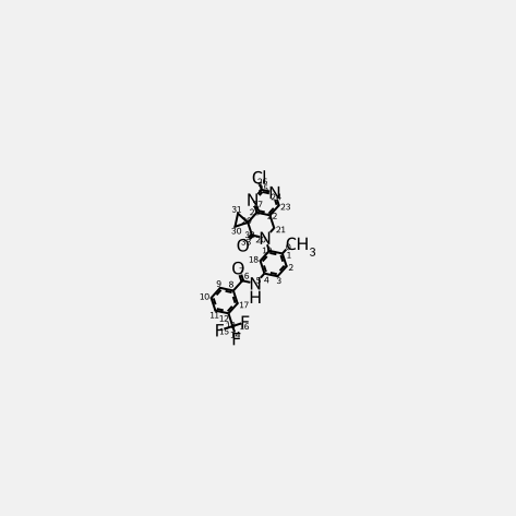 Cc1ccc(NC(=O)c2cccc(C(F)(F)F)c2)cc1N1Cc2cnc(Cl)nc2C2(CC2)C1=O